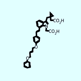 O=C(O)Cn1cc(CC2(CC(=O)O)CC2)c2cccc(C=Cc3ccc(OCC=CCOc4ccccc4)cc3)c21